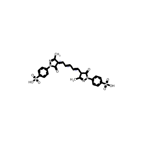 CC1=NN(c2ccc(S(=O)(=O)O)cc2)C(=O)\C1=C/C=C/C=C/C1C(=O)N(c2ccc(S(=O)(=O)O)cc2)N=C1C